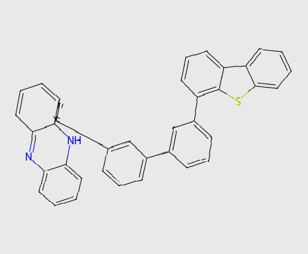 C1=CC2=Nc3ccccc3NC23C=C(c2cccc(-c4cccc(-c5cccc6c5sc5ccccc56)c4)c2)C=CC3=C1